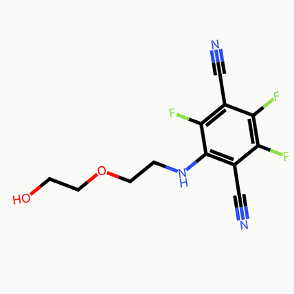 N#Cc1c(F)c(F)c(C#N)c(NCCOCCO)c1F